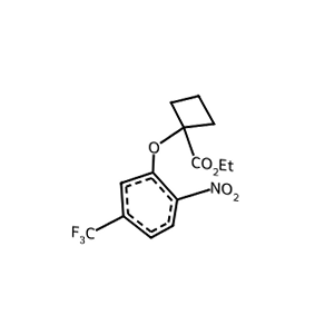 CCOC(=O)C1(Oc2cc(C(F)(F)F)ccc2[N+](=O)[O-])CCC1